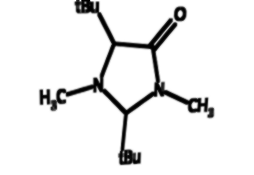 CN1C(=O)C(C(C)(C)C)N(C)C1C(C)(C)C